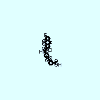 CC1(C)c2ccc(F)cc2S(=O)(=O)c2cc(S(=O)(=O)NC3CCN(S(=O)(=O)c4cccc(C(=O)O)c4)CC3)c(Cl)cc21